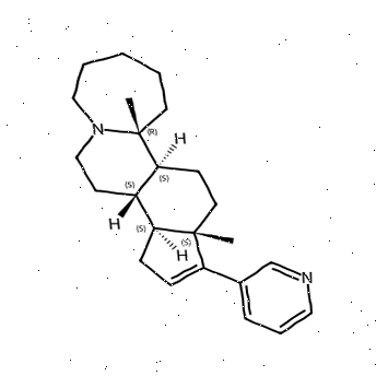 C[C@]12CC[C@H]3[C@@H](CCN4CCCCC[C@]34C)[C@@H]1CC=C2c1cccnc1